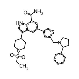 CCS(=O)(=O)N1CCC(c2c[nH]c3c(C(N)=O)cc(-c4csc(CN5CCCC5c5ccccc5)c4)cc23)CC1